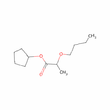 CCCCOC(C)C(=O)OC1CCCC1